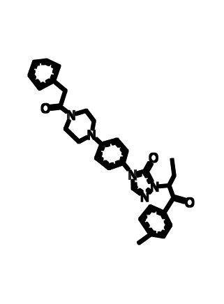 CCC(C(=O)c1ccc(C)cc1)n1ncn(-c2ccc(N3CCN(C(=O)Cc4ccccc4)CC3)cc2)c1=O